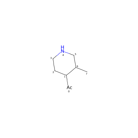 CC(=O)C1CCNCC1C